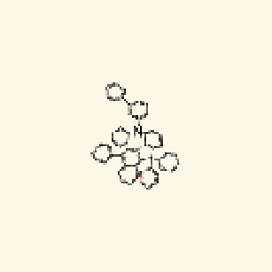 c1ccc(-c2cccc(N(c3ccccc3)c3cccc4c3-c3cc(-c5ccccc5)c5ccccc5c3C4(c3ccccc3)c3ccccc3)c2)cc1